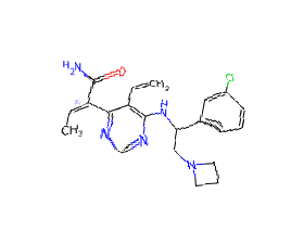 C=Cc1c(NC(CN2CCC2)c2cccc(Cl)c2)ncnc1/C(=C\C)C(N)=O